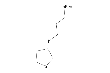 C1CCSC1.CCCCCCCCI